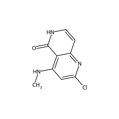 CNc1cc(Cl)nc2cc[nH]c(=O)c12